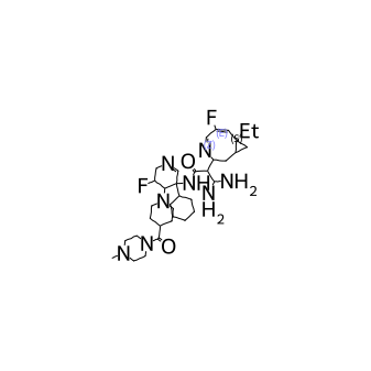 CC[C@@]12/C=C(F)\C=N/C(C(C(=O)NC3(C4CCCCC4)C=NCC(F)C3N3CCC(C(=O)N4CCN(C)CC4)CC3)C(N)N)CC1C2